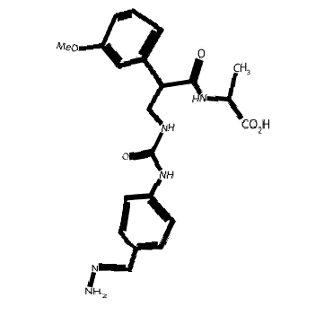 COc1cccc(C(CNC(=O)Nc2ccc(C=NN)cc2)C(=O)NC(C)C(=O)O)c1